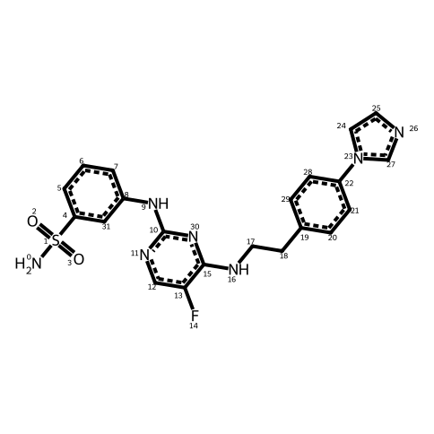 NS(=O)(=O)c1cccc(Nc2ncc(F)c(NCCc3ccc(-n4ccnc4)cc3)n2)c1